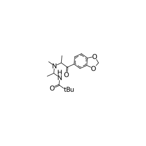 CC(NC(=O)C(C)(C)C)N(C)C(C)C(=O)c1ccc2c(c1)OCO2